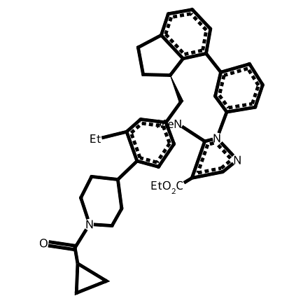 CCOC(=O)c1cnn(-c2cccc(-c3cccc4c3[C@@H](Cc3ccc(C5CCN(C(=O)C6CC6)CC5)c(CC)c3)CC4)c2)c1NC